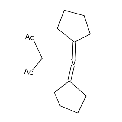 C1CC[C](=[V]=[C]2CCCC2)C1.CC(=O)CC(C)=O